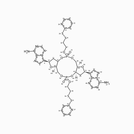 Nc1ncnc2c1ncn2[C@H]1CC2OP(=O)(OCCSSc3ccccn3)OC[C@H]3O[C@@H](n4cnc5c(N)ncnc54)C[C@H]3OP(=O)(OCCSSc3ccccn3)OC[C@H]2O1